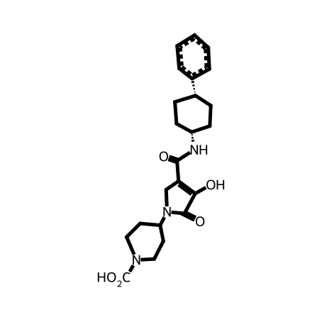 O=C(N[C@H]1CC[C@@H](c2ccccc2)CC1)C1=C(O)C(=O)N(C2CCN(C(=O)O)CC2)C1